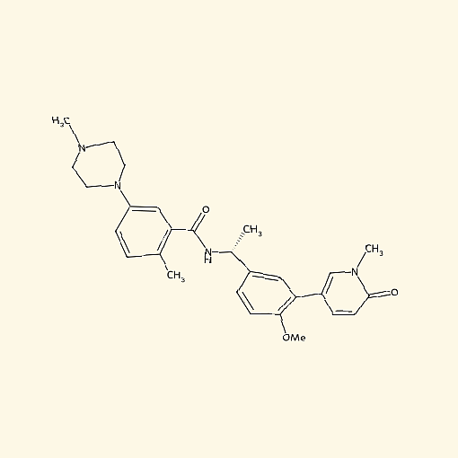 COc1ccc([C@@H](C)NC(=O)c2cc(N3CCN(C)CC3)ccc2C)cc1-c1ccc(=O)n(C)c1